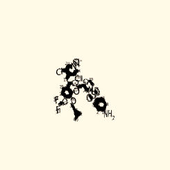 Nc1ccc(S(=O)(=O)N2CCOC(C(=O)O[C@@H](Cc3c(Cl)c[n+]([O-])cc3Cl)c3ccc(OC(F)F)c(OCC4CC4)c3)C2)cc1